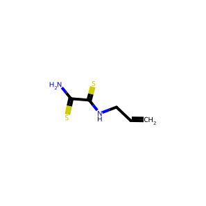 C=CCNC(=S)C(N)=S